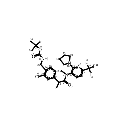 CC(C(=O)N(C)c1ccc(C(F)(F)F)nc1N1CCCC1)c1ccc(CNC(=O)OC(C)(C)C)c(Cl)c1